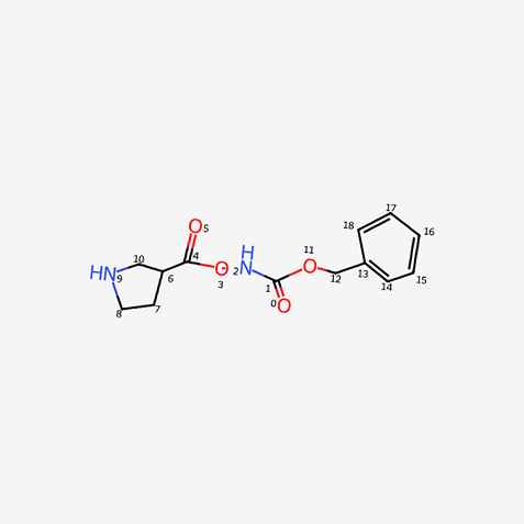 O=C(NOC(=O)C1CCNC1)OCc1ccccc1